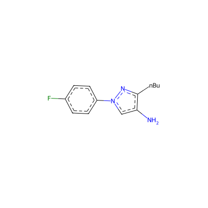 CCCCc1nn(-c2ccc(F)cc2)cc1N